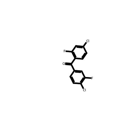 O=C(c1ccc(Cl)c(F)c1)c1ccc(Cl)cc1F